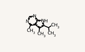 Cc1ncnc2[nH]c(C(C)C)c(C)c12